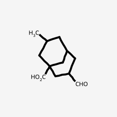 CC1CC2CC(C=O)CC(C(=O)O)(C1)C2